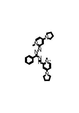 Cn1ccc(N2CCCC2)cc1=NN=C(N=Nc1cc(N2CCCC2)cc[n+]1C)c1ccccc1